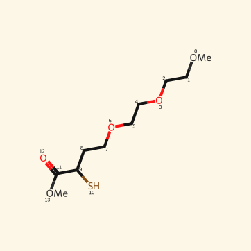 COCCOCCOCCC(S)C(=O)OC